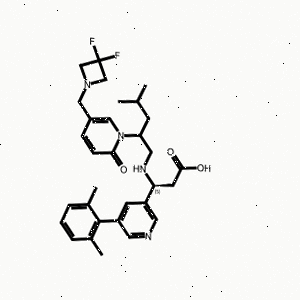 Cc1cccc(C)c1-c1cncc([C@H](CC(=O)O)NCC(CC(C)C)n2cc(CN3CC(F)(F)C3)ccc2=O)c1